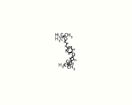 CC(C)(C)OCCCc1ncc(OC2CC(OC(C)(C)C)C2)cn1